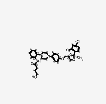 C[C@]1(c2ccc(Cl)cc2Cl)OC[C@@H](COc2ccc(N3CCN(c4ccccc4NC(=O)CCCO)CC3)cc2)O1